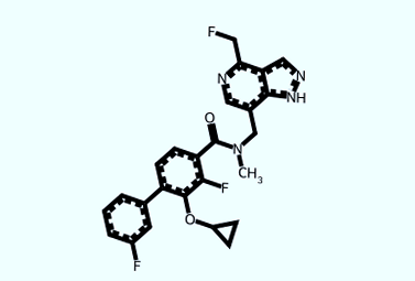 CN(Cc1cnc(CF)c2cn[nH]c12)C(=O)c1ccc(-c2cccc(F)c2)c(OC2CC2)c1F